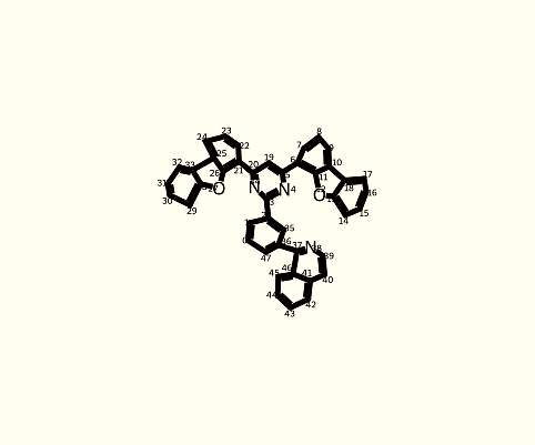 c1cc(-c2nc(-c3cccc4c3oc3ccccc34)cc(-c3cccc4c3oc3ccccc34)n2)cc(-c2nccc3ccccc23)c1